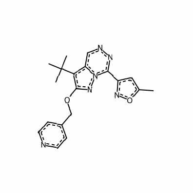 Cc1cc(-c2nncc3c(C(C)(C)C)c(OCc4ccncc4)nn23)no1